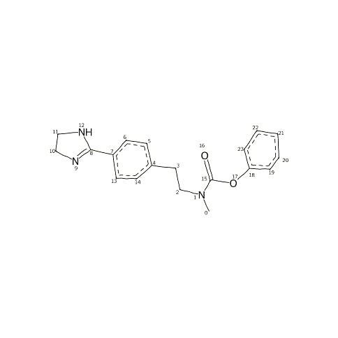 CN(CCc1ccc(C2=NCCN2)cc1)C(=O)Oc1ccccc1